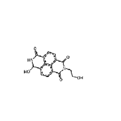 O=C1NC(O)c2ccc3c4c(ccc1c24)C(=O)N(CCO)C3=O